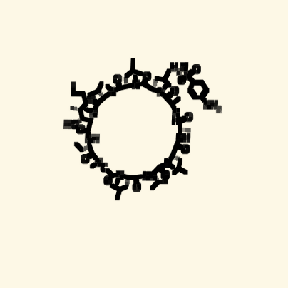 C/C=C/C[C@@H](C)[C@@H](O)[C@H]1C(=O)N[C@@H](CC)C(=O)N(C)CC(=O)N(C)[C@@H](CC(C)C)C(=O)N[C@@H](C(C)C)C(=O)N(C)[C@@H](CC(C)C)C(=O)N[C@@H](C)C(=O)N[C@H](C)C(=O)N(C)[C@@H](CC(C)C)C(=O)N(C)[C@@H](CC(C)C)C(=O)N(C)[C@@H](C(C)C)C(=O)N1C.Nc1ccc(S(N)(=O)=O)cc1